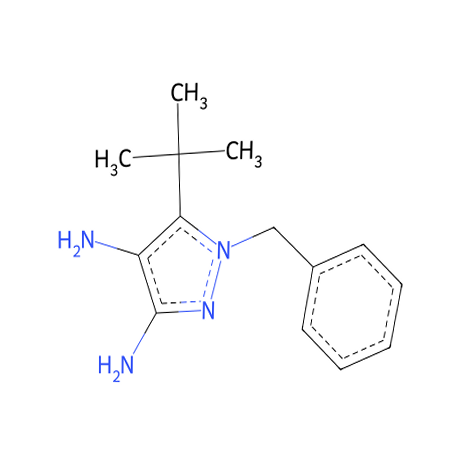 CC(C)(C)c1c(N)c(N)nn1Cc1ccccc1